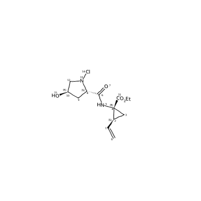 C=C[C@@H]1C[C@]1(NC(=O)[C@@H]1C[C@@H](O)CN1Cl)C(=O)OCC